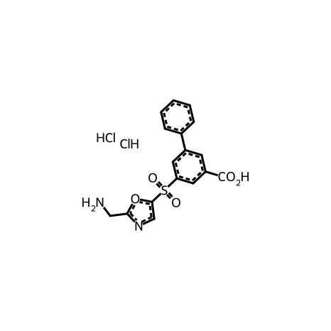 Cl.Cl.NCc1ncc(S(=O)(=O)c2cc(C(=O)O)cc(-c3ccccc3)c2)o1